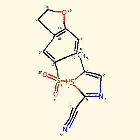 CC1=CN=C(C#N)[SH]1S(=O)(=O)c1ccc2c(c1)CCO2